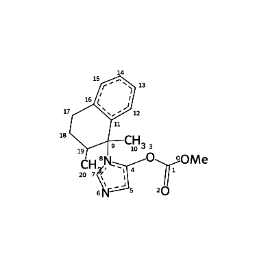 COC(=O)Oc1cncn1C1(C)c2ccccc2CCC1C